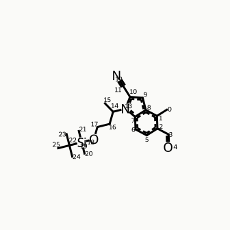 Cc1c(C=O)ccc2c1cc(C#N)n2C(C)CCO[Si](C)(C)C(C)(C)C